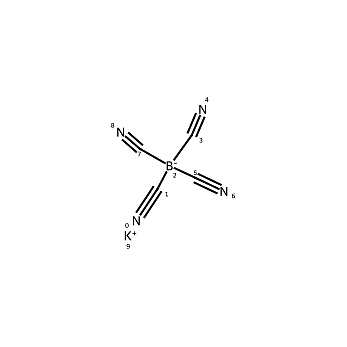 N#C[B-](C#N)(C#N)C#N.[K+]